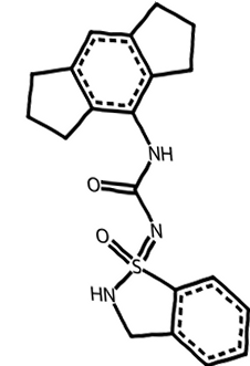 O=C(N=S1(=O)NCc2ccccc21)Nc1c2c(cc3c1CCC3)CCC2